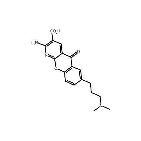 CN(C)CCCc1ccc2oc3nc(N)c(C(=O)O)cc3c(=O)c2c1